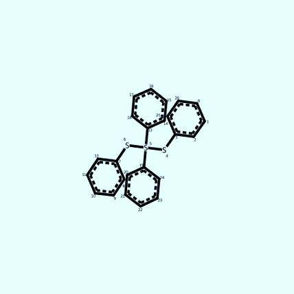 c1ccc(SS(Sc2ccccc2)(c2ccccc2)c2ccccc2)cc1